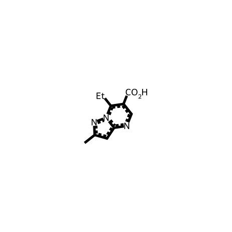 CCc1c(C(=O)O)cnc2cc(C)nn12